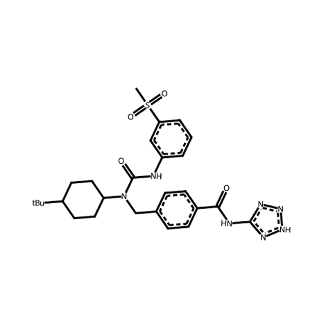 CC(C)(C)C1CCC(N(Cc2ccc(C(=O)Nc3nn[nH]n3)cc2)C(=O)Nc2cccc(S(C)(=O)=O)c2)CC1